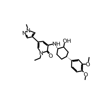 CCn1cc(-c2cnn(C)c2)cc(N[C@H]2CC[C@@H](c3ccc(OC)c(OC)c3)CC2O)c1=O